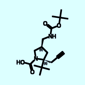 C#CC[C@@]1(C(C)(C)C)C[C@H](CNC(=O)OC(C)(C)C)CN1C(=O)O